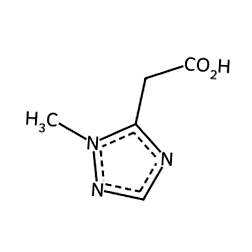 Cn1ncnc1CC(=O)O